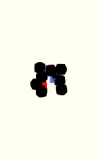 c1ccc(-c2ccc3c(c2)nc(-c2cccc(-n4c5ccccc5c5cc(-c6cccc7c6oc6ccccc67)ccc54)c2)n3-c2ccccc2)cc1